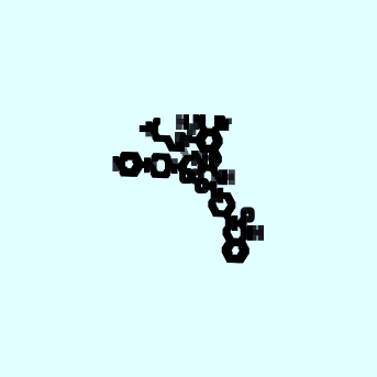 CN(C)CCCC[C@H](NC(=O)[C@@H](Cc1cc(Br)c(N)c(Br)c1)NC(=O)N1CCC(N2Cc3ccccc3NC2=O)CC1)C(=O)N1CCN(c2ccncc2)CC1